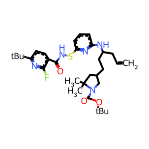 C=CCC(CCC1CN(C(=O)OC(C)(C)C)C(C)(C)C1)Nc1cccc(SNC(=O)c2ccc(C(C)(C)C)nc2F)n1